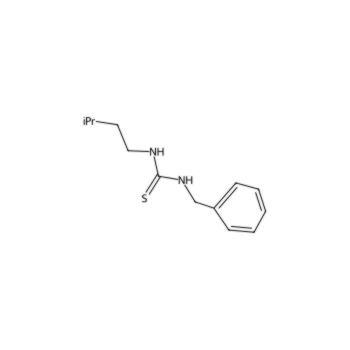 CC(C)CCNC(=S)NCc1ccccc1